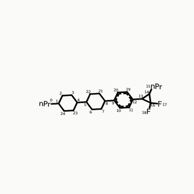 CCCC1CCC(C2CCC(c3ccc(C4C(CCC)C4(F)F)cc3)CC2)CC1